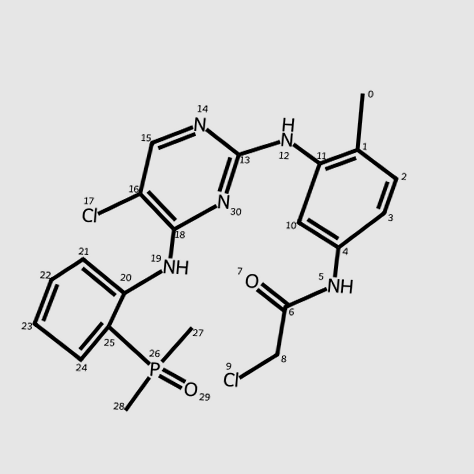 Cc1ccc(NC(=O)CCl)cc1Nc1ncc(Cl)c(Nc2ccccc2P(C)(C)=O)n1